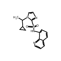 CC(C1CC1)n1ccnc1S(=O)(=O)Nc1cccc2cccnc12